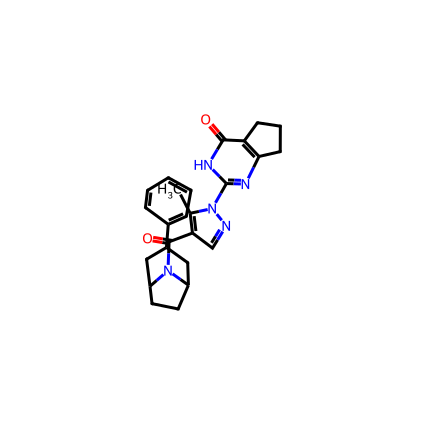 Cc1c(C(=O)N2C3CCC2CC(c2ccccc2)C3)cnn1-c1nc2c(c(=O)[nH]1)CCC2